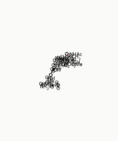 C=C(C(=O)N[C@@H](C)C(=O)N(C)[C@@H](C)C(=O)N[C@H](C(=O)NC)[C@H](OC(=O)[C@@H](NC(C)=O)[C@H](OP(=O)(O)OCc1ccc(NC(=O)[C@H](CCCNC(N)=O)NC(=O)[C@@H](NC(=O)CCN2C(=O)C=CC2=O)C(C)C)cc1)C(C)C)C(C)C)N(C)C(=O)[C@@H](Cc1ccccc1)OC(=O)[C@@H](NC(C)=O)[C@@H](C)OC(=O)C[C@@H](C)OC